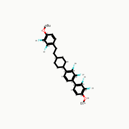 CCCCOc1ccc(CCC2CCC(c3ccc(-c4ccc(OCC)c(F)c4F)c(F)c3F)CC2)c(F)c1F